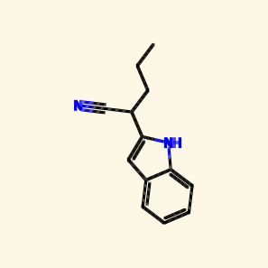 CCCC(C#N)c1cc2ccccc2[nH]1